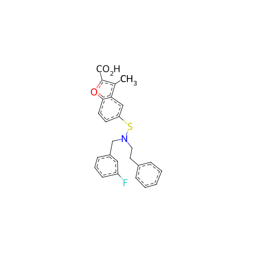 Cc1c(C(=O)O)oc2ccc(SN(CCc3ccccc3)Cc3cccc(F)c3)cc12